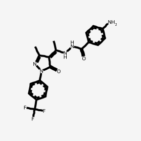 CC1=NN(c2ccc(C(F)(F)F)cc2)C(=O)/C1=C(/C)NNC(=O)c1ccc(N)cc1